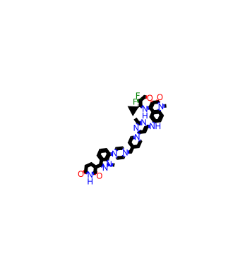 Cc1nc(Nc2ccc3c(c2)c2c(c(=O)n3C)OCC(F)(F)[C@H](C3CC3)N2)cc(N2CCC(CN3CCN(c4cccc5c(C6CCC(=O)NC6=O)nn(C)c45)CC3)CC2)n1